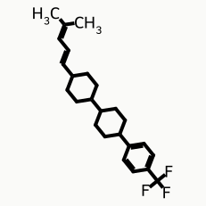 CC(C)=C/C=C/C1CCC(C2CCC(c3ccc(C(F)(F)F)cc3)CC2)CC1